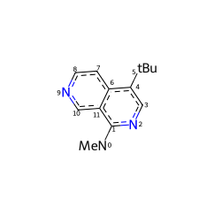 CNc1ncc(C(C)(C)C)c2ccncc12